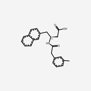 Cc1cccc(CC(=O)N[C@H](CC(=O)O)Cc2ccc3ccccc3c2)c1